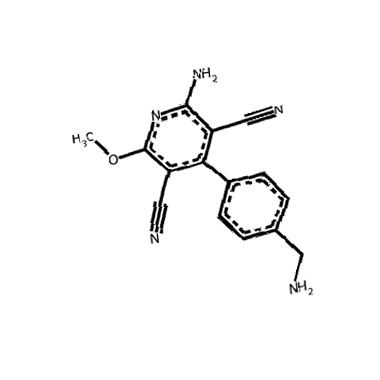 COc1nc(N)c(C#N)c(-c2ccc(CN)cc2)c1C#N